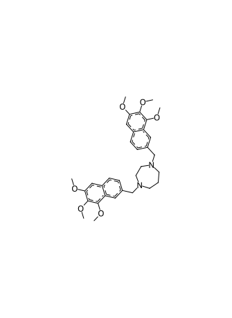 COc1cc2ccc(CN3CCCN(Cc4ccc5cc(OC)c(OC)c(OC)c5c4)CC3)cc2c(OC)c1OC